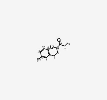 CCC(=O)C1CCc2cc(F)ccc2O1